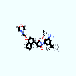 COc1c(N)cc(C(C)(C)C)cc1N1C(=O)C=C(c2ccc(OCCN3CCOCC3)c3ccccc23)C1=O